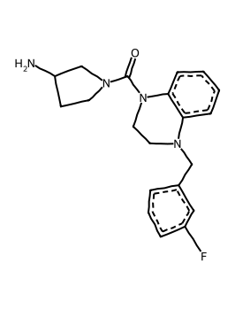 NC1CCN(C(=O)N2CCN(Cc3cccc(F)c3)c3ccccc32)C1